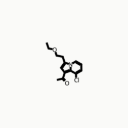 CCOCCc1cc(C(C)=O)c2c(Cl)cccn12